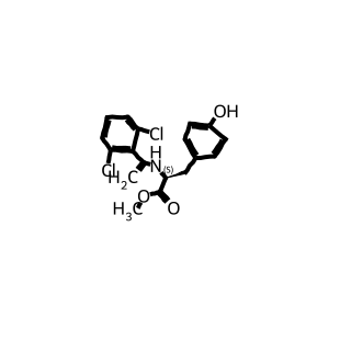 C=C(N[C@@H](Cc1ccc(O)cc1)C(=O)OC)c1c(Cl)cccc1Cl